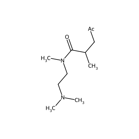 CC(=O)CC(C)C(=O)N(C)CCN(C)C